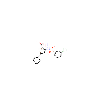 O=C(O)c1sc(-c2ccccc2)cc1NS(=O)(=O)c1cccc(Br)c1